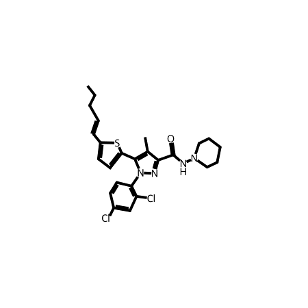 CCCC=Cc1ccc(-c2c(C)c(C(=O)NN3CCCCC3)nn2-c2ccc(Cl)cc2Cl)s1